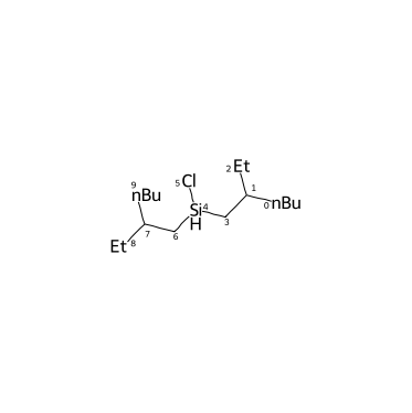 CCCCC(CC)C[SiH](Cl)CC(CC)CCCC